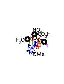 COc1nc(C)nc(NC(=O)NS(=O)(=O)c2cc(I)ccc2C(=O)O)n1.O=C(O)c1cc(Oc2ccc(C(F)(F)F)cc2Cl)ccc1[N+](=O)[O-]